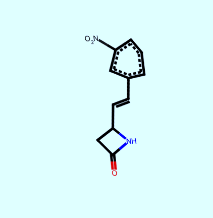 O=C1CC(C=Cc2cccc([N+](=O)[O-])c2)N1